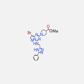 COC(=O)C1CCN(c2nc(NCc3nnc(-c4ccccc4)[nH]3)n3ncc(Br)c3n2)CC1